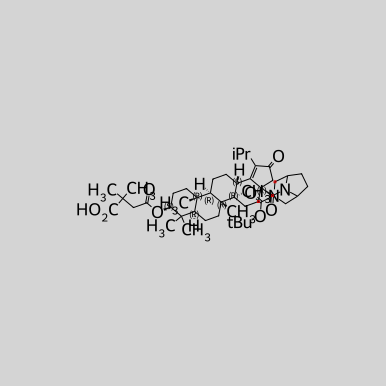 CC(C)C1=C2[C@H]3CC[C@@H]4[C@@]5(C)CC[C@H](OC(=O)CC(C)(C)C(=O)O)C(C)(C)[C@@H]5CC[C@@]4(C)[C@]3(C)CC[C@@]2(C(=O)N2C3CCC2CN(C(=O)OC(C)(C)C)C3)CC1=O